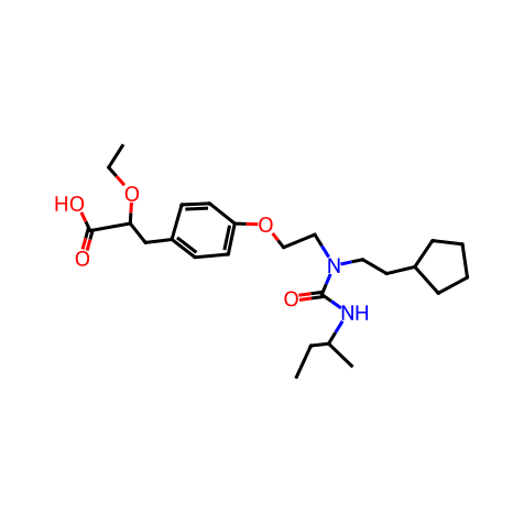 CCOC(Cc1ccc(OCCN(CCC2CCCC2)C(=O)NC(C)CC)cc1)C(=O)O